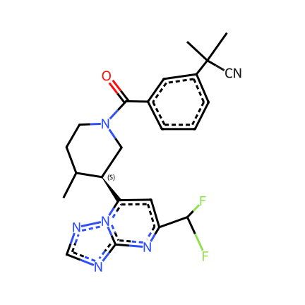 CC1CCN(C(=O)c2cccc(C(C)(C)C#N)c2)C[C@H]1c1cc(C(F)F)nc2ncnn12